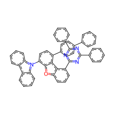 c1ccc(-c2ccc(-c3ccc(-n4c5ccccc5c5ccccc54)c4oc5cccc(-c6nc(-c7ccccc7)nc(-c7ccccc7)n6)c5c34)cc2)cc1